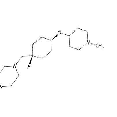 CCN1CCN(C[C@]2(F)CC[C@@H](OC3CCN(C)CC3)CC2)CC1